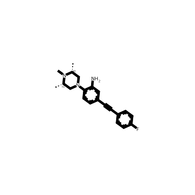 C[C@@H]1CN(c2ccc(C#Cc3ccc(F)cc3)cc2N)C[C@H](C)N1C